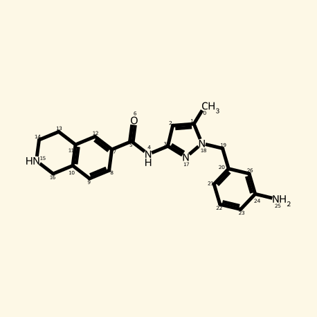 Cc1cc(NC(=O)c2ccc3c(c2)CCNC3)nn1Cc1cccc(N)c1